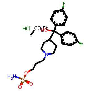 CCOC(C)=O.Cl.NS(=O)(=O)OCCCN1CCC(C(O)(c2ccc(F)cc2)c2ccc(F)cc2)CC1